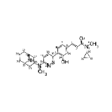 CN(C(=O)/C=C/c1ccc(-c2ccc(N(C)C3CC4CCCC(C3)N4)nn2)c(O)c1)C1CC1